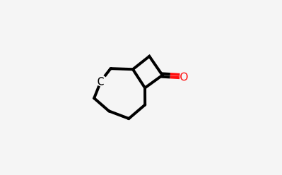 O=C1CC2CCCCCCC12